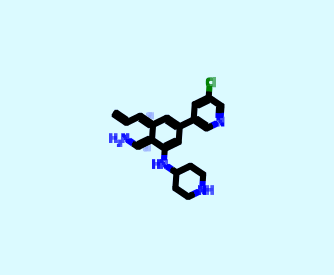 C=C/C=c1/cc(-c2cncc(Cl)c2)cc(NC2CCNCC2)/c1=C/N